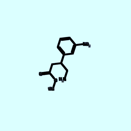 CC(C)(C)OC(=O)CC(CN)c1cccc([N+](=O)[O-])c1